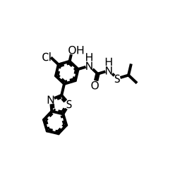 CC(C)SNC(=O)Nc1cc(-c2nc3ccccc3s2)cc(Cl)c1O